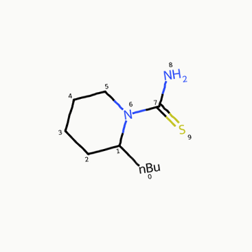 CCCCC1CCCCN1C(N)=S